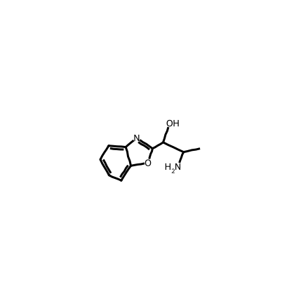 CC(N)C(O)c1nc2ccccc2o1